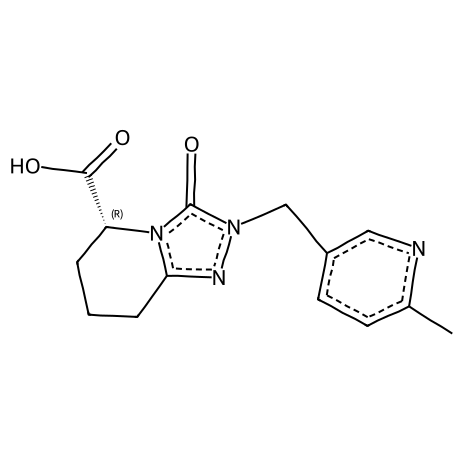 Cc1ccc(Cn2nc3n(c2=O)[C@@H](C(=O)O)CCC3)cn1